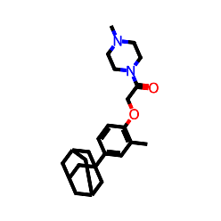 Cc1cc(C23CC4CC(CC(C4)C2)C3)ccc1OCC(=O)N1CCN(C)CC1